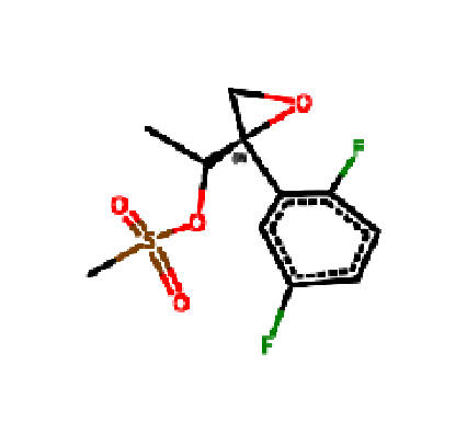 CC(OS(C)(=O)=O)[C@@]1(c2cc(F)ccc2F)CO1